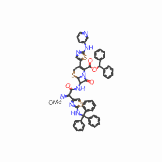 CO/N=C(/C(=O)NC1C(=O)N2C(C(=O)OC(c3ccccc3)c3ccccc3)=C(c3cnc(Nc4cccnc4)s3)CSC12)c1csc(NC(c2ccccc2)(c2ccccc2)c2ccccc2)n1